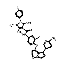 CC1=C(C(=O)Nc2ccc(Oc3ccnn4ccc(-c5ccc(C)nc5)c34)c(F)c2)C(O)N(c2ccc(F)cc2)N1C